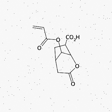 C=CC(=O)OC1C2CC(=O)OC1C(C(=O)O)C2